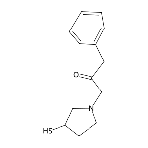 O=C(Cc1ccccc1)CN1CCC(S)C1